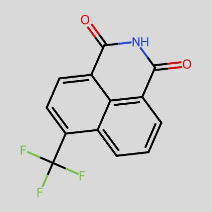 O=C1NC(=O)c2ccc(C(F)(F)F)c3cccc1c23